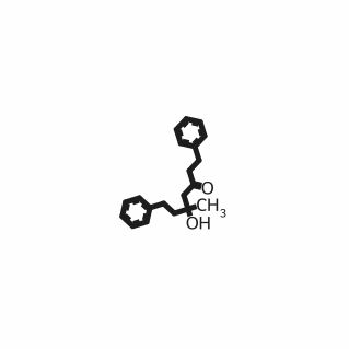 CC(O)(CCc1ccccc1)CC(=O)CCc1ccccc1